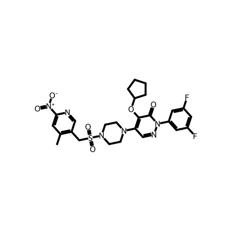 Cc1cc([N+](=O)[O-])ncc1CS(=O)(=O)N1CCN(c2cnn(-c3cc(F)cc(F)c3)c(=O)c2OC2CCCC2)CC1